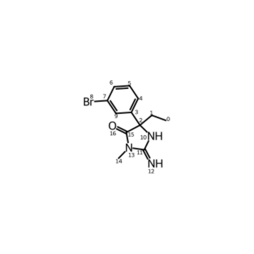 CCC1(c2cccc(Br)c2)NC(=N)N(C)C1=O